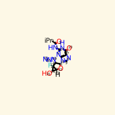 CC(C)C(=O)Nc1nc2c(ncn2[C@@H]2O[C@@H]3C(O)[C@]3(F)C2N=[N+]=[N-])c(=O)[nH]1